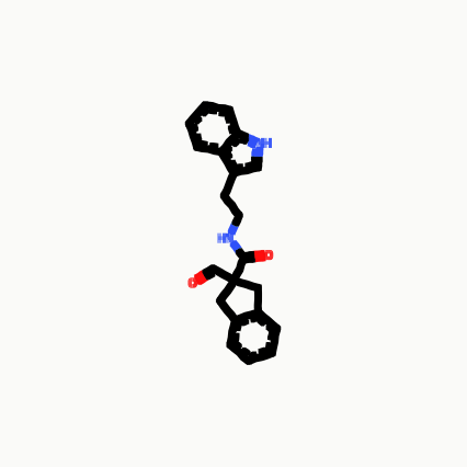 O=CC1(C(=O)NCCc2c[nH]c3ccccc23)Cc2ccccc2C1